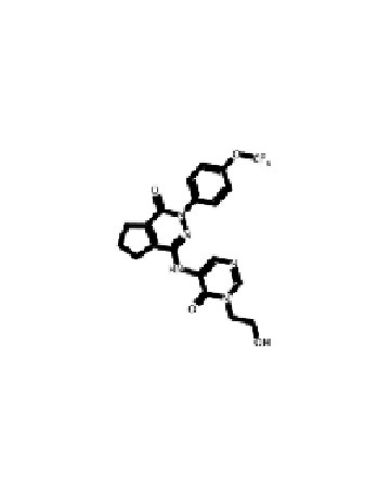 O=c1c(Nc2nn(-c3ccc(OC(F)(F)F)cc3)c(=O)c3c2CCC3)cncn1CCO